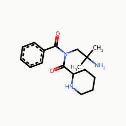 CC(C)(N)CN(C(=O)c1ccccc1)C(=O)C1CCCCN1